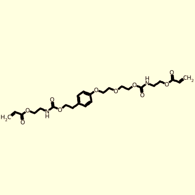 C=CC(=O)OCCNC(=O)OCCOCCOc1ccc(CCOC(=O)NCCOC(=O)C=C)cc1